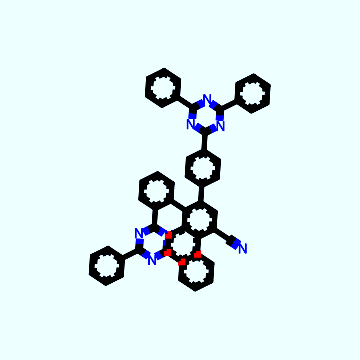 N#Cc1cc(-c2ccc(-c3nc(-c4ccccc4)nc(-c4ccccc4)n3)cc2)c(-c2ccccc2-c2nc(-c3ccccc3)nc(-c3ccccc3)n2)c2ccccc12